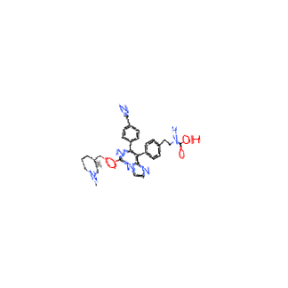 CN1CCC[C@@H](COc2nc(-c3ccc(C#N)cc3)c(-c3ccc(CCNC(=O)O)cc3)c3nccn23)C1